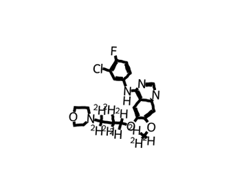 [2H]C([2H])([2H])Oc1cc2ncnc(Nc3ccc(F)c(Cl)c3)c2cc1OC([2H])([2H])C([2H])([2H])C([2H])([2H])N1CCOCC1